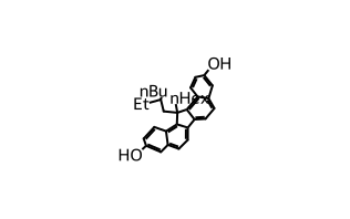 CCCCCCC1(CC(CC)CCCC)c2c(ccc3cc(O)ccc23)-c2ccc3cc(O)ccc3c21